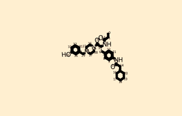 CCC(=O)N[C@H](Cc1ccc(NC(=O)CC2CCCCC2)cc1)C(=O)N1CCN(Cc2cccc(O)c2)CC1